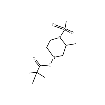 CC1CN(OC(=O)C(C)(C)C)CCN1S(C)(=O)=O